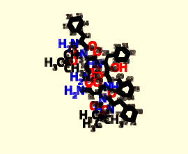 CC(C)(C)OC(=O)N(C(=O)[C@@H](N)Cc1ccccc1)[C@@H](CC(N)=O)C(=O)N[C@@H](Cc1ccccc1)[C@@H](O)[C@H](O)[C@H](Cc1ccccc1)NC(=O)[C@H](CC(N)=O)N(C(=O)OC(C)(C)C)C(=O)[C@@H](N)Cc1ccccc1